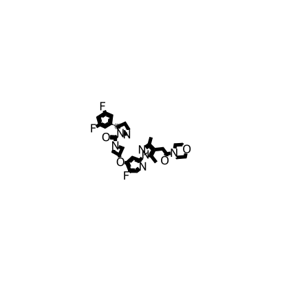 Cc1nn(-c2cc(OC3CN(C(=O)N4N=CC[C@H]4c4cc(F)cc(F)c4)C3)c(F)cn2)c(C)c1CC(=O)N1CCOCC1